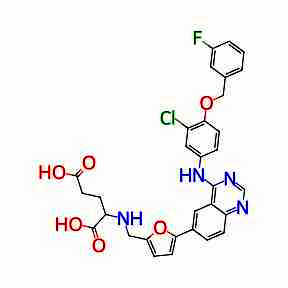 O=C(O)CCC(NCc1ccc(-c2ccc3ncnc(Nc4ccc(OCc5cccc(F)c5)c(Cl)c4)c3c2)o1)C(=O)O